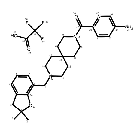 CC1(C)Cc2cccc(CN3CCC4(CC3)CCN(C(=O)c3ccc(N)cn3)CC4)c2O1.O=C(O)C(F)(F)F